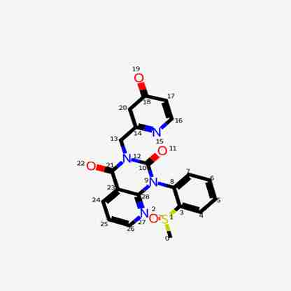 C[S+]([O-])c1ccccc1-n1c(=O)n(CC2=NC=CC(=O)C2)c(=O)c2cccnc21